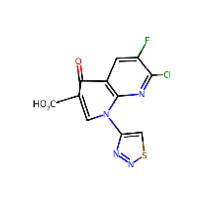 O=C(O)c1cn(-c2csnn2)c2nc(Cl)c(F)cc2c1=O